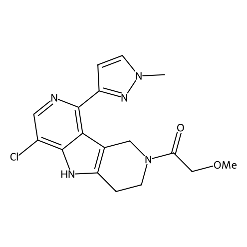 COCC(=O)N1CCc2[nH]c3c(Cl)cnc(-c4ccn(C)n4)c3c2C1